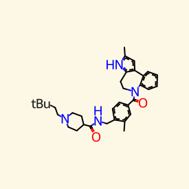 Cc1cc2c([nH]1)CCN(C(=O)c1ccc(CNC(=O)C3CCN(CCC(C)(C)C)CC3)c(C)c1)c1ccccc1-2